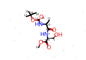 COC(=O)[C@H](CO)NC(=O)C(C)NC(=O)OC(C)(C)C